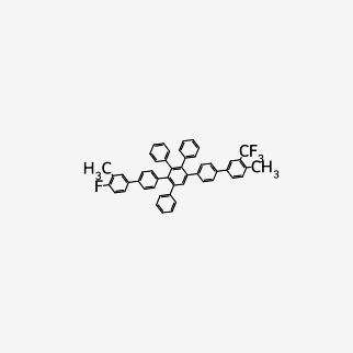 Cc1cc(-c2ccc(-c3c(-c4ccccc4)cc(-c4ccc(-c5ccc(C)c(C(F)(F)F)c5)cc4)c(-c4ccccc4)c3-c3ccccc3)cc2)ccc1F